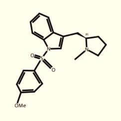 COc1ccc(S(=O)(=O)n2cc(C[C@H]3CCCN3C)c3ccccc32)cc1